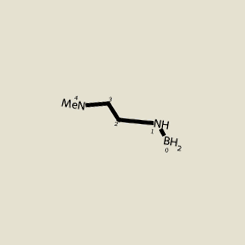 BNCCNC